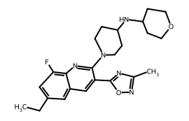 CCc1cc(F)c2nc(N3CCC(NC4CCOCC4)CC3)c(-c3nc(C)no3)cc2c1